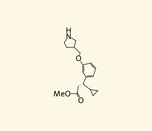 COC(=O)C[C@H](c1cccc(OCC2CCNC2)c1)C1CC1